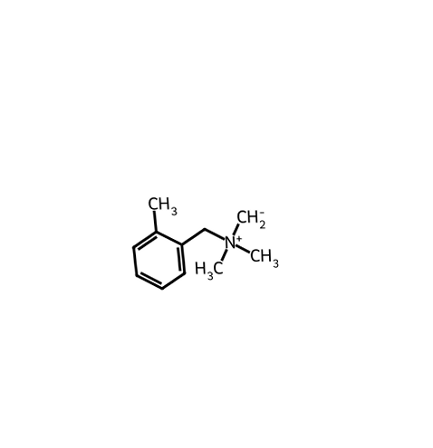 [CH2-][N+](C)(C)Cc1ccccc1C